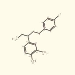 CCC(CCc1ccc(I)cc1)c1ccc(O)c(C)c1